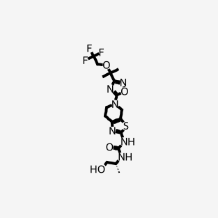 C[C@H](CO)NC(=O)Nc1nc2c(s1)CN(c1nc(C(C)(C)OCC(F)(F)F)no1)CC2